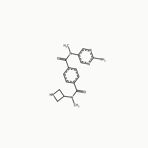 CN(C(=O)c1ccc(C(=O)N(C)C2CNC2)cc1)c1cnc(N)nc1